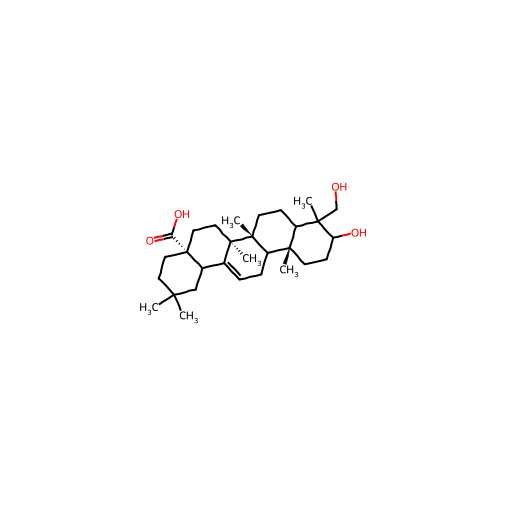 CC1(C)CC[C@@]2(C(=O)O)CC[C@]3(C)C(=CCC4[C@@]5(C)CCC(O)C(C)(CO)C5CC[C@]43C)C2C1